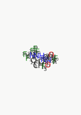 Cc1ccc2c(c1C1=CC(F)=C(C(=O)N3CCOCC(F)(F)C3)N(C)C1)NC(C(F)(F)F)N2CC(F)F